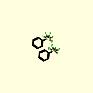 [F][Zn]([F])([F])([F])([F])[c]1ccccc1.[F][Zn]([F])([F])([F])([F])[c]1ccccc1